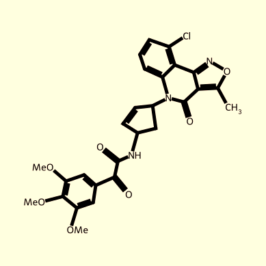 COc1cc(C(=O)C(=O)NC2C=CC(n3c(=O)c4c(C)onc4c4c(Cl)cccc43)C2)cc(OC)c1OC